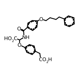 O=C(O)Cc1ccc(OC(NC(=O)c2ccc(OCCCCc3ccccc3)cc2)C(=O)O)cc1